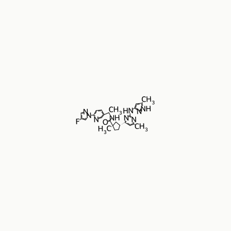 Cc1cc([C@@H]2CC[C@@](C)(C(=O)N[C@@H](C)c3ccc(-n4cc(F)cn4)nc3)C2)nc(Nc2cc(C)[nH]n2)n1